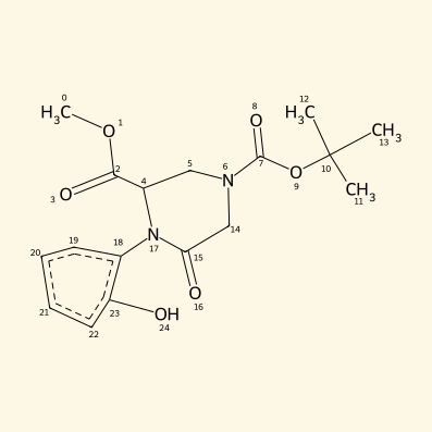 COC(=O)C1CN(C(=O)OC(C)(C)C)CC(=O)N1c1ccccc1O